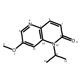 COc1cnc2ccc(=O)n(C(C)C)c2c1